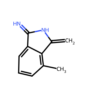 C=C1NC(=N)c2cccc(C)c21